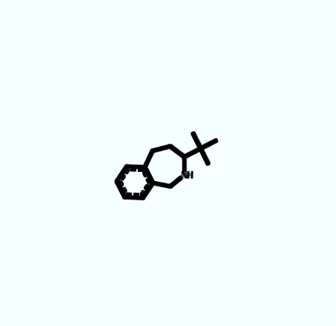 CC(C)(C)C1CCc2ccccc2CN1